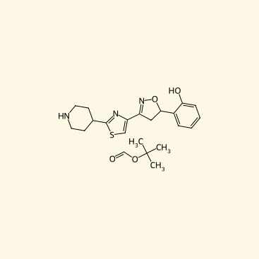 CC(C)(C)OC=O.Oc1ccccc1C1CC(c2csc(C3CCNCC3)n2)=NO1